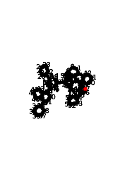 C1=CC2=C([C@@H]3C=C13)C1(c3ccccc32)c2ccc(-c3nc(-c4ccccc4)nc(-c4ccc(-c5ccccc5)c5ccccc45)n3)cc2-n2c3ccccc3c3cccc1c32